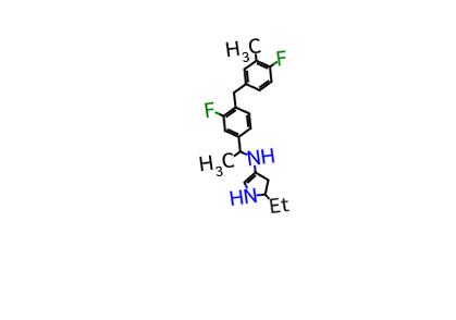 CCC1CC(NC(C)c2ccc(Cc3ccc(F)c(C)c3)c(F)c2)=CN1